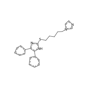 c1ccc(-c2nc(SCCCCCn3ccnc3)[nH]c2-c2ccccc2)cc1